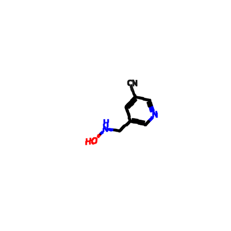 N#Cc1cncc(CNO)c1